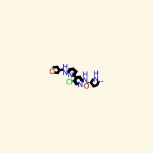 C[C@@H]1CC[C@H](C(=O)Nc2cc(-c3cccc(NCC4CCOCC4)n3)c(Cl)cn2)CN1